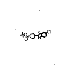 CC(C)(C)OC(=O)N1CCC(c2nc3ccc(Cl)cc3s2)CC1